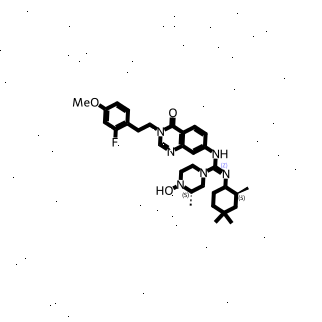 COc1ccc(CCn2cnc3cc(N/C(=N/C4CCC(C)(C)C[C@@H]4C)N4CCN(O)[C@@H](C)C4)ccc3c2=O)c(F)c1